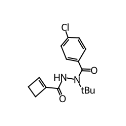 CC(C)(C)N(NC(=O)C1=CCC1)C(=O)c1ccc(Cl)cc1